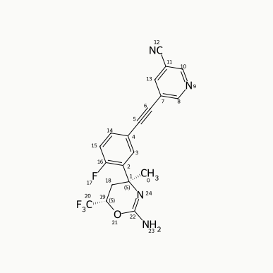 C[C@@]1(c2cc(C#Cc3cncc(C#N)c3)ccc2F)C[C@@H](C(F)(F)F)OC(N)=N1